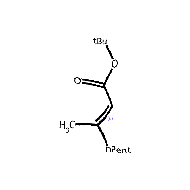 CCCCC/C(C)=C/C(=O)OC(C)(C)C